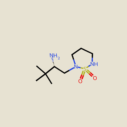 CC(C)(C)[C@H](N)CN1CCCNS1(=O)=O